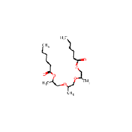 CCCCCC(=O)OCC(C)OCC(C)OCC(C)OC(=O)CCCCC